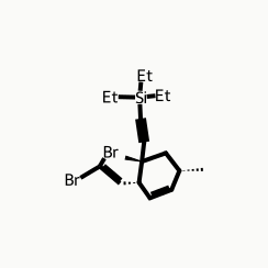 CC[Si](C#C[C@]1(C)C[C@H](C)C=C[C@@H]1C=C(Br)Br)(CC)CC